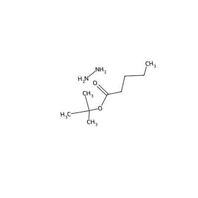 CCCCC(=O)OC(C)(C)C.NN